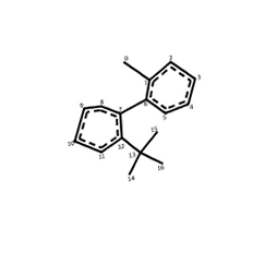 Cc1ccccc1-c1ccccc1C(C)(C)C